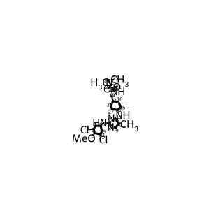 COc1c(Cl)cc(Nc2ncc(C)c(Nc3ccc(CNS(=O)(=O)N(C)C)cc3)n2)cc1Cl